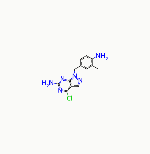 Cc1cc(Cn2ncc3c(Cl)nc(N)nc32)ccc1N